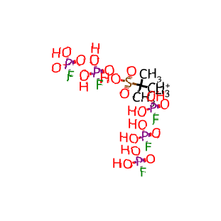 CC(C)(C)S(=O)(=O)O.O=P(O)(O)F.O=P(O)(O)F.O=P(O)(O)F.O=P(O)(O)F.O=P([O-])(O)F.[Li+]